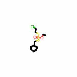 CCOP(=O)(SCCCl)SCc1ccccc1